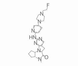 CN(C)C(=O)C1Cc2cnc(Nc3ccc(N4CCN(CCF)CC4)cn3)nc2N1C1CCCC1